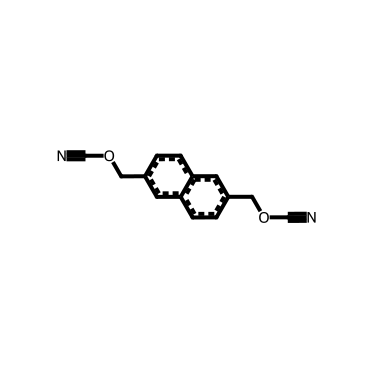 N#COCc1ccc2cc(COC#N)ccc2c1